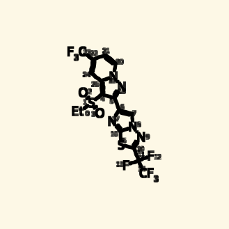 CCS(=O)(=O)c1c(-c2cn3nc(C(F)(F)C(F)(F)F)sc3n2)nn2ccc(C(F)(F)F)cc12